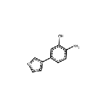 Nc1ccc(-c2ccoc2)cc1O